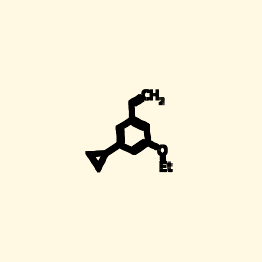 C=Cc1cc(OCC)cc(C2CC2)c1